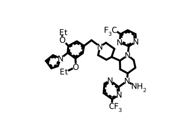 CCOc1cc(CN2CCC(C3CC(N(N)c4nccc(C(F)(F)F)n4)CCN3c3nccc(C(F)(F)F)n3)CC2)cc(OCC)c1-n1cccc1